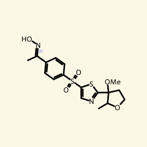 COC1(c2ncc(S(=O)(=O)c3ccc(/C(C)=N/O)cc3)s2)CCOC1C